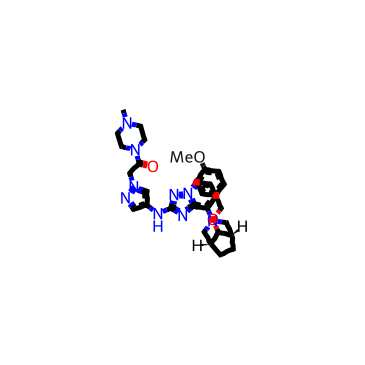 COc1ccc(COC2[C@@H]3CC[C@H]2CN(c2cccn4nc(Nc5cnn(CC(=O)N6CCN(C)CC6)c5)nc24)C3)cc1